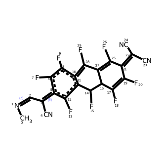 C/N=C\C(C#N)=c1/c(F)c(F)c2c(c1F)C(F)C1C(F)=C(F)C(=C(C#N)C#N)C(F)=C1C=2F